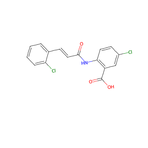 O=C(C=Cc1ccccc1Cl)Nc1ccc(Cl)cc1C(=O)O